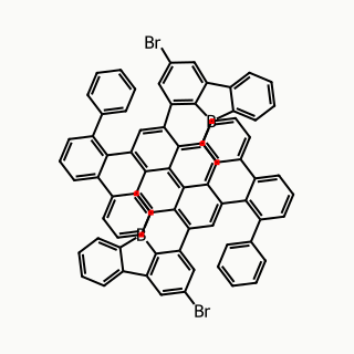 Brc1cc2c3c(c1)-c1cc(-c4c(-c5ccccc5)cccc4-c4ccccc4)c4cc5c6c(cc(-c7c(-c8ccccc8)cccc7-c7ccccc7)c7cc(c1c4c76)B3c1ccccc1-2)-c1cc(Br)cc2c1B5c1ccccc1-2